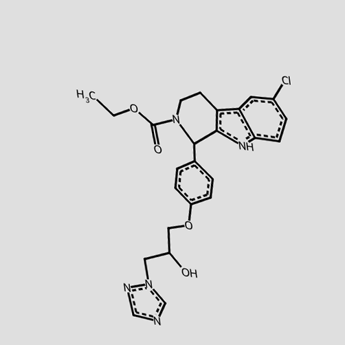 CCOC(=O)N1CCc2c([nH]c3ccc(Cl)cc23)C1c1ccc(OCC(O)Cn2cncn2)cc1